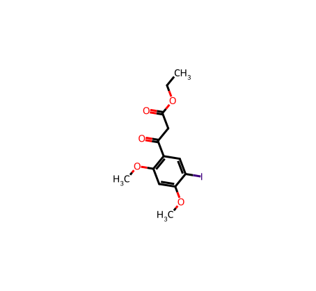 CCOC(=O)CC(=O)c1cc(I)c(OC)cc1OC